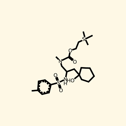 Cc1ccc(S(=O)(=O)NC(CN(C)C(=O)OCC[Si](C)(C)C)CC2(O)CCCCC2)cc1